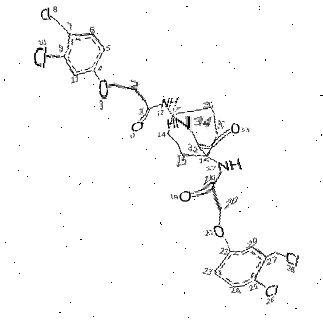 O=C(COc1ccc(Cl)c(Cl)c1)NC12CCC(NC(=O)COc3ccc(Cl)c(Cl)c3)(CC1)C(=O)N2